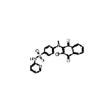 CN(C1=C(Cl)C(=O)c2ccccc2C1=O)c1ccc(S(=O)(=O)Nc2ccccn2)cc1